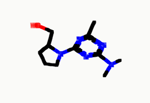 Cc1nc(N(C)C)nc(N2CCCC2CO)n1